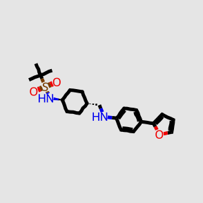 CC(C)(C)S(=O)(=O)N[C@H]1CC[C@H](CNc2ccc(-c3ccco3)cc2)CC1